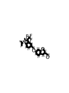 CC(C)n1nc(C(F)(F)F)c2cc(COc3ccc4c(c3)OCC(C=O)=C4)ccc21